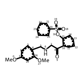 COc1ccc(CNCC(=O)c2ccccc2OS(=O)(=O)c2ccccc2)c(OC)c1